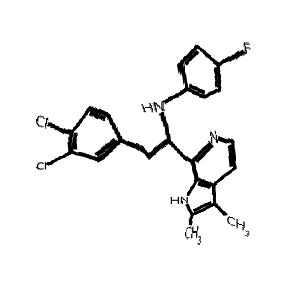 Cc1[nH]c2c(C(Cc3ccc(Cl)c(Cl)c3)Nc3ccc(F)cc3)nccc2c1C